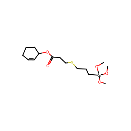 CO[Si](CCCSCCC(=O)OC1C=CCCC1)(OC)OC